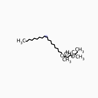 CCCCCCCC/C=C\CCCCCCCCOC(C)(C)CCOC(C)(C)CC